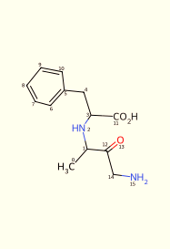 CC(NC(Cc1ccccc1)C(=O)O)C(=O)CN